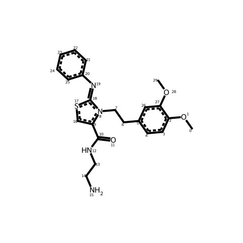 COc1ccc(CCn2c(C(=O)NCCN)csc2=Nc2ccccc2)cc1OC